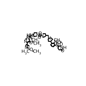 CCOC(C)n1cc(-c2ncn3nc(NC4CCN(S(=O)(=O)N5CCC(CN6CCC(c7cccc8c7n(C)c(=O)n8[C@@H]7CCC(=O)NC7=O)CC6)CC5)CC4)nc3c2OC(C)C)cn1